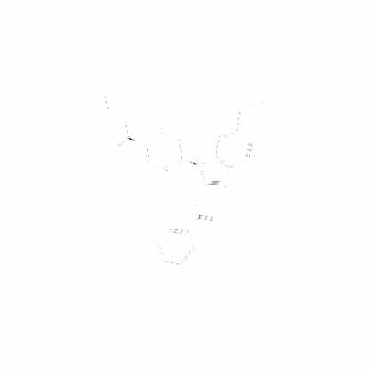 CCOC(=O)[C@H]1CC[C@@H](n2c(NC(=O)c3ccc(F)cc3)nc3ccc(CO)cc32)CC1